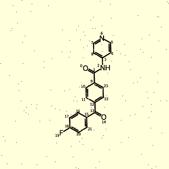 O=C(Nc1ccncc1)c1ccc(C(=O)c2ccc(F)cc2)cc1